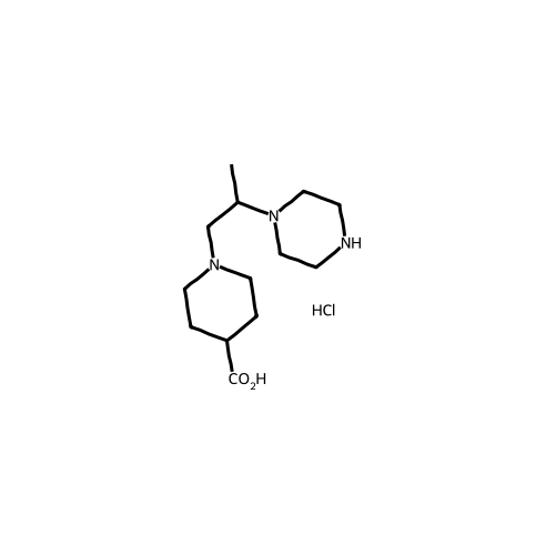 CC(CN1CCC(C(=O)O)CC1)N1CCNCC1.Cl